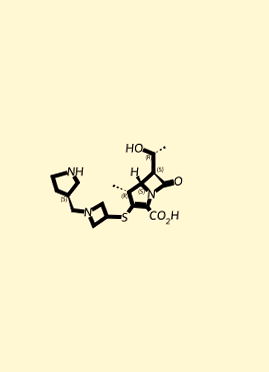 C[C@@H](O)[C@H]1C(=O)N2C(C(=O)O)=C(SC3CN(C[C@H]4CCNC4)C3)[C@H](C)[C@H]12